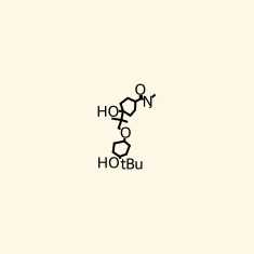 CN(C)C(=O)C1CCC(O)(C(C)(C)COC2CCC(O)(C(C)(C)C)CC2)CC1